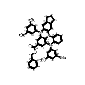 CC(C)(C)c1cc(N2c3ccccc3B3c4cc5c(cc4N(c4cc(C(C)(C)C)cc(C(C)(C)C)c4)c4cc(C(=O)OCc6ccccc6)cc2c43)CCC5)cc(C(C)(C)C)c1